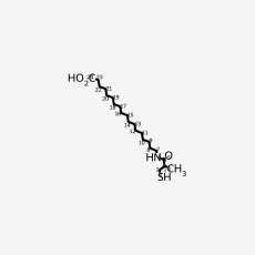 CC(CS)C(=O)NCCCCCCCCCCCCCCCCCC(=O)O